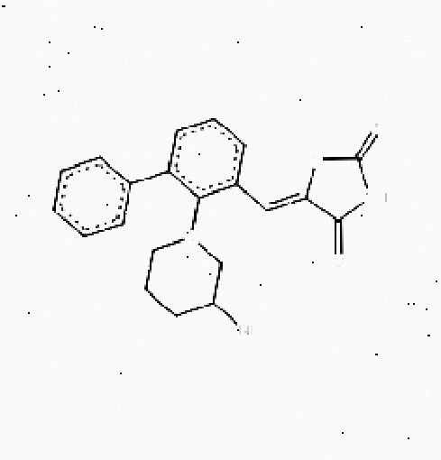 NC1CCCN(c2c(/C=C3\SC(=O)NC3=O)cccc2-c2ccccc2)C1